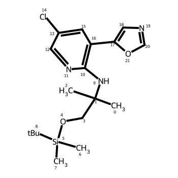 CC(C)(CO[Si](C)(C)C(C)(C)C)Nc1ncc(Cl)cc1-c1cnco1